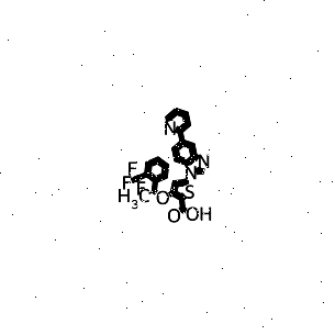 C[C@@H](Oc1cc(-n2cnc3cc(-c4ccccn4)ccc32)sc1C(=O)O)c1ccccc1C(F)(F)F